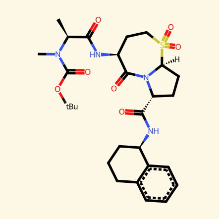 C[C@@H](C(=O)N[C@H]1CCS(=O)(=O)[C@H]2CC[C@H](C(=O)N[C@@H]3CCCc4ccccc43)N2C1=O)N(C)C(=O)OC(C)(C)C